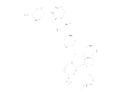 CCNc1cccc(-c2c(-c3cnn(C)c3)oc3ncnc(Oc4ccc(NC(=O)c5cccn(-c6ccc(F)cc6)c5=O)cc4)c23)c1